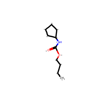 CCCCOC(=O)NC1CCCC1